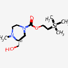 CN1CCN(C(=O)OCC[Si](C)(C)C)C[C@@H]1CO